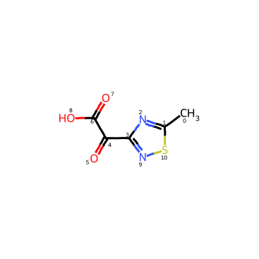 Cc1nc(C(=O)C(=O)O)ns1